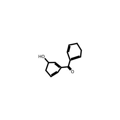 O=C(C1=CCCC=C1)C1=CC(O)CC=C1